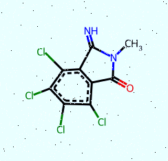 CN1C(=N)c2c(Cl)c(Cl)c(Cl)c(Cl)c2C1=O